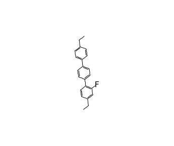 CCc1ccc(-c2ccc(-c3ccc(CC)cc3F)cc2)cc1